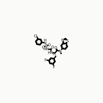 CN(C(=O)[C@H](Cc1cc(F)cc(F)c1)NC(=O)NS(=O)(=O)Nc1cccc(Cl)c1)c1ccc2scnc2c1